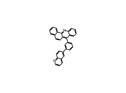 c1cc(-c2ccc3ncccc3c2)cc(-c2c3ccccc3nc3c2ccc2ccccc23)c1